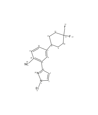 CCn1ccc(-c2cc(C3CCC(F)(F)CC3)ccc2C#N)n1